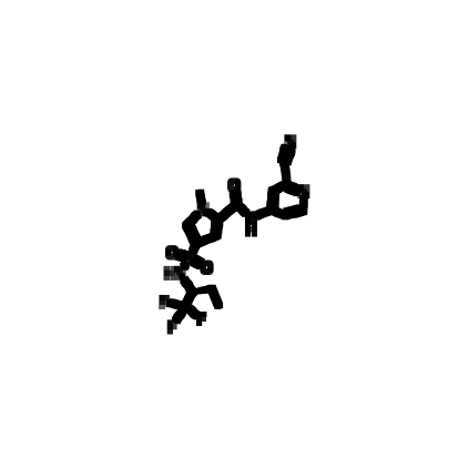 CC[C@H](NS(=O)(=O)c1cc(C(=O)Nc2ccnc(C#N)c2)n(C)c1)C(F)(F)F